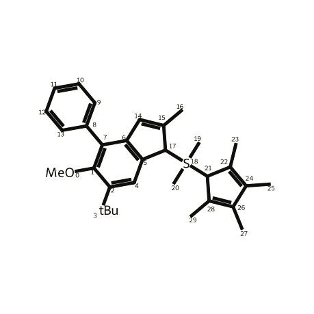 COc1c(C(C)(C)C)cc2c(c1-c1ccccc1)C=C(C)C2S(C)(C)C1C(C)=C(C)C(C)=C1C